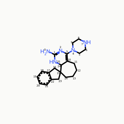 NC1=NC(N2CCNCC2)=C2CCCCC3(Cc4ccccc4C3)C2N1